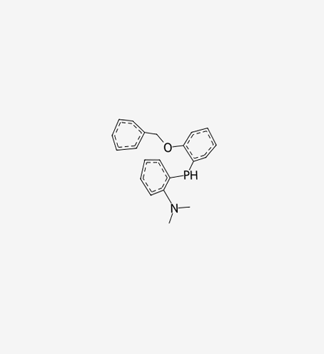 CN(C)c1ccccc1Pc1ccccc1OCc1ccccc1